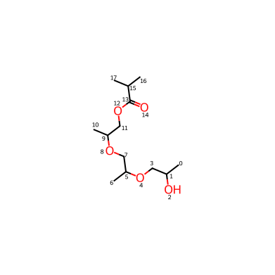 CC(O)COC(C)COC(C)COC(=O)C(C)C